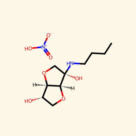 CCCCN[C@]1(O)CO[C@@H]2[C@@H](O)CO[C@@H]21.O=[N+]([O-])O